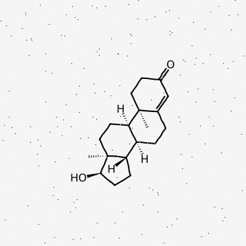 C[C@]12CC[C@@H]3[C@@H](CCC4=CC(=O)CC[C@@]43C)[C@@H]1CC[C@H]2O